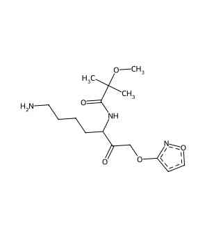 COC(C)(C)C(=O)NC(CCCCN)C(=O)COc1ccon1